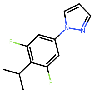 CC(C)c1c(F)cc(-n2cccn2)cc1F